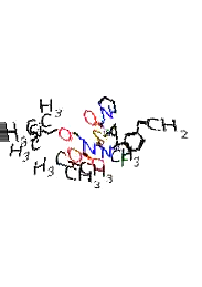 C=Cc1ccc(F)c([C@@]2(C)N=C(N(COCC[Si](C)(C)C)C(=O)OC(C)(C)C)S[C@@]3(C(=O)N4CCCC4)CC32)c1